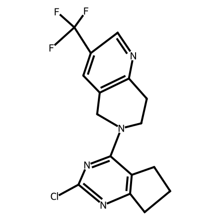 FC(F)(F)c1cnc2c(c1)CN(c1nc(Cl)nc3c1CCC3)CC2